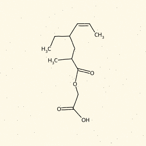 C/C=C\C(CC)CC(C)C(=O)OCC(=O)O